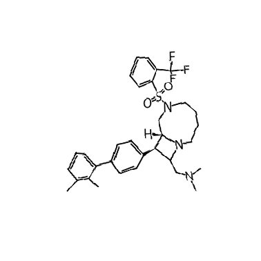 Cc1cccc(-c2ccc([C@@H]3C(CN(C)C)N4CCCCN(S(=O)(=O)c5ccccc5C(F)(F)F)C[C@@H]34)cc2)c1C